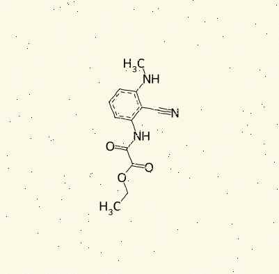 CCOC(=O)C(=O)Nc1cccc(NC)c1C#N